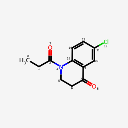 CCC(=O)N1CCC(=O)c2cc(Cl)ccc21